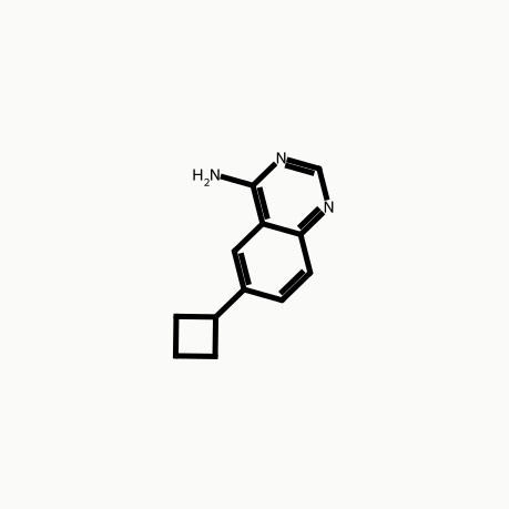 Nc1ncnc2ccc(C3CCC3)cc12